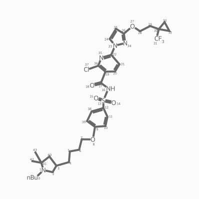 CCCCN1CC(CCCCOc2ccc(S(=O)(=O)NC(=O)c3ccc(-n4ccc(OCCC5(C(F)(F)F)CC5)n4)nc3Cl)cc2)CC1(C)C